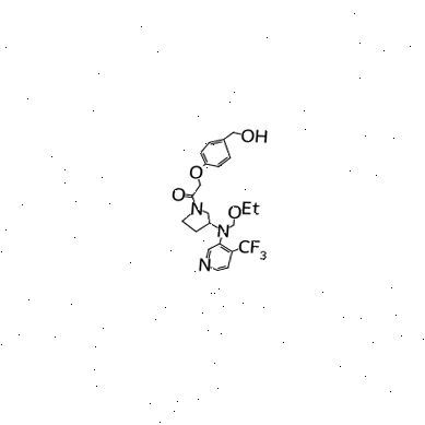 CCOCN(c1cnccc1C(F)(F)F)C1CCN(C(=O)COc2ccc(CO)cc2)C1